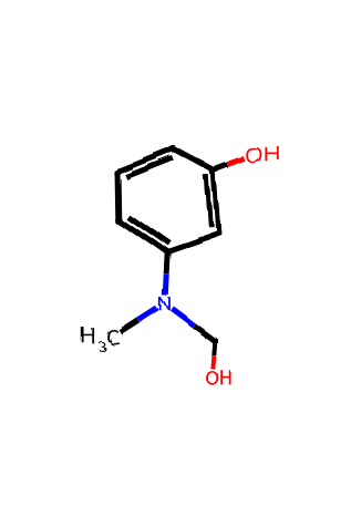 CN(CO)c1cccc(O)c1